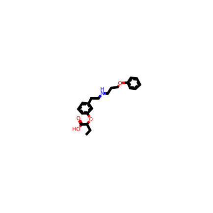 CCC(Oc1cccc(CCNCCCOc2ccccc2)c1)C(=O)O